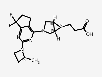 C[C@H]1CCN1c1nc(N2C[C@@H]3[C@@H](CCC(=O)O)[C@@H]3C2)c2c(n1)C(F)(F)CC2